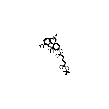 COc1ccc2c3c1O[C@H]1C[C@@H](OC(=O)CCCC(=O)OC(C)(C)C)C=C[C@@]31CCN(C)C2